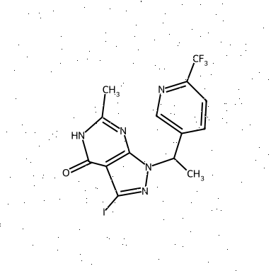 Cc1nc2c(c(I)nn2C(C)c2ccc(C(F)(F)F)nc2)c(=O)[nH]1